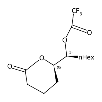 CCCCCC[C@H](OC(=O)C(F)(F)F)[C@H]1CCCC(=O)O1